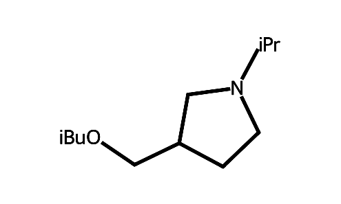 CC(C)COCC1CCN(C(C)C)C1